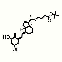 C=C1C(=CC=C2CCC[C@]3(C)C([C@H](C)SCCCC(=O)OC(C)(C)C)=CC[C@@H]23)C[C@@H](O)C[C@@H]1O